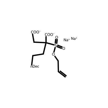 C=CCOS(=O)(=O)C(CCCCCCCCCCCC)(CC(=O)[O-])C(=O)[O-].[Na+].[Na+]